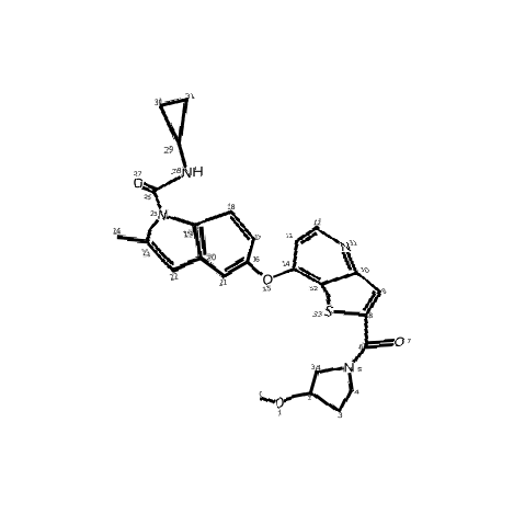 COC1CCN(C(=O)c2cc3nccc(Oc4ccc5c(c4)cc(C)n5C(=O)NC4CC4)c3s2)C1